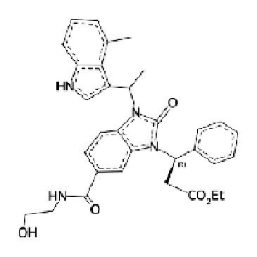 CCOC(=O)C[C@H](c1ccccc1)n1c(=O)n(C(C)c2c[nH]c3cccc(C)c23)c2ccc(C(=O)NCCO)cc21